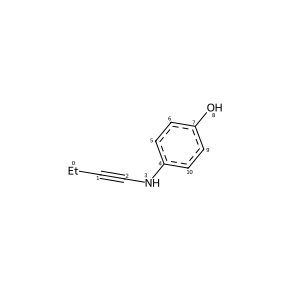 CCC#CNc1ccc(O)cc1